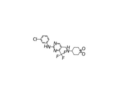 O=S1(=O)CCC(NCc2cnc(Nc3cccc(Cl)c3)nc2C(F)(F)F)CC1